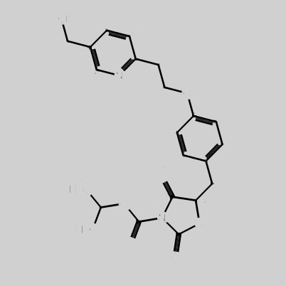 CCc1ccc(CCOc2ccc(CC3SC(=O)N(C(=O)OC(C)C)C3=O)cc2)nc1